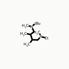 CCN(C)CC(C)C(C)CN(C)C(C)(C)C